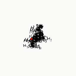 C=C(C)[C@@H]1CC[C@]2(C(=O)N[C@@H]3C[C@H](C(=O)N4CCCC4)C3(C)C)CC[C@]3(C)[C@H](CC[C@@H]4[C@@]5(C)CC[C@H](OC(=O)CC(C)(C)C(=O)O)C(C)(C)[C@@H]5CC[C@]43C)[C@@H]12